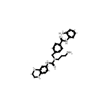 NCCCN(Cc1ccc(C(=O)Nc2ccccc2N)cc1)C(=O)Nc1ccc2c(c1)OCCO2